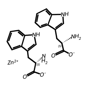 N[C@@H](Cc1c[nH]c2ccccc12)C(=O)[O-].N[C@@H](Cc1c[nH]c2ccccc12)C(=O)[O-].[Zn+2]